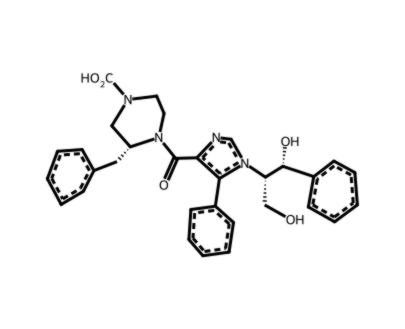 O=C(O)N1CCN(C(=O)c2ncn([C@@H](CO)[C@H](O)c3ccccc3)c2-c2ccccc2)[C@H](Cc2ccccc2)C1